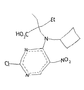 CCC(C)(C(=O)O)N(c1nc(Cl)ncc1[N+](=O)[O-])C1CCC1